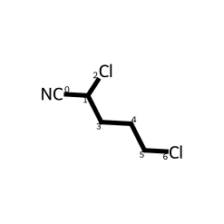 N#CC(Cl)CCCCl